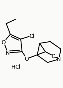 CCc1onc(OC2CN3CCC2CC3)c1Cl.Cl